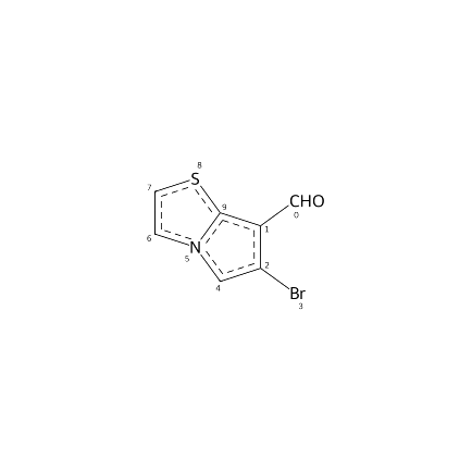 O=Cc1c(Br)cn2ccsc12